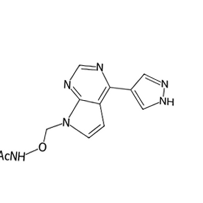 CC(=O)NOCn1ccc2c(-c3cn[nH]c3)ncnc21